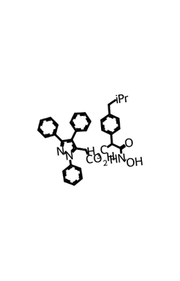 CC(C)Cc1ccc(C(C)C(=O)NO)cc1.O=C(O)Cc1c(-c2ccccc2)c(-c2ccccc2)nn1-c1ccccc1